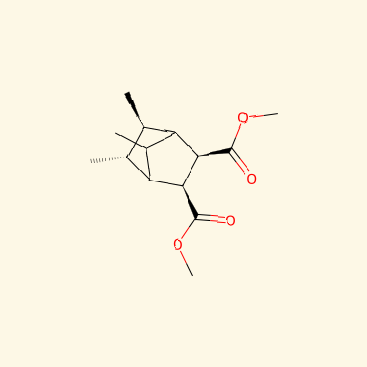 COC(=O)[C@@H]1C2C(C)C([C@H](C)[C@H]2C)[C@@H]1C(=O)OC